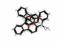 CN(C1=CC=C2C(=Cc3ccccc32)C12C=CC=C1C2=Cc2ccccc21)c1ccccc1-c1ccccc1